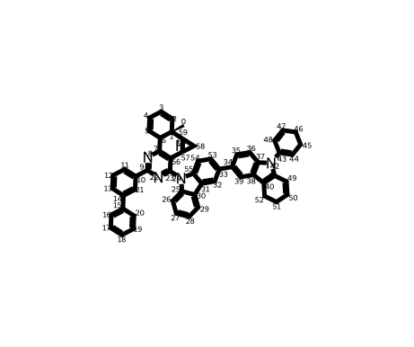 C[C@]12C=CC=CC1c1nc(-c3cccc(-c4ccccc4)c3)nc(-n3c4ccccc4c4cc(-c5ccc6c(c5)c5c(n6C6=CCCC=C6)C=CCC5)ccc43)c1C1C[C@H]12